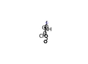 C/C=C/COC(=O)NCCOc1ccc(Cc2ccccc2)cc1Cl